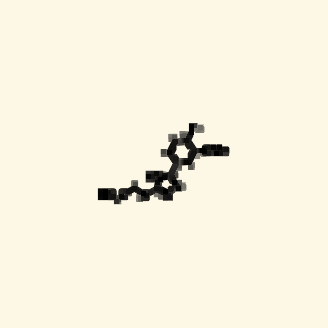 COc1cc(-c2nnc(SCC(=O)O)[nH]2)ccc1F